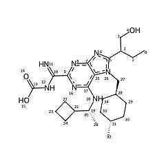 CCC(CO)c1nc2nc(C(=N)NC(=O)O)nc(N[C@H](C)C3CCC3)c2n1C[C@H]1CC[C@H](C)CC1